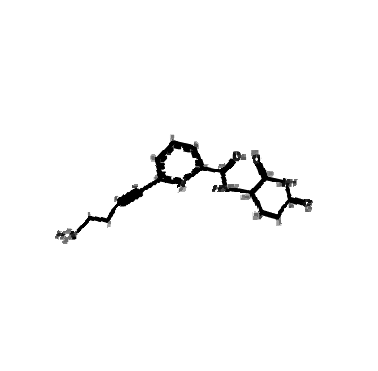 NCCC#Cc1cccc(C(=O)NC2CCC(=O)NC2=O)n1